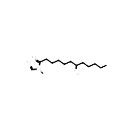 CCCCCC(N)CCCCCc1nncn1C